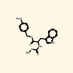 COc1ccc(COC(=O)C(Cc2c[nH]c3ccccc23)NC(=O)OC(C)(C)C)cc1